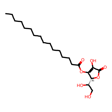 CCCCCCCCCCCCCCCC(=O)OC1=C(O)C(=O)O[C@@H]1C(O)CO